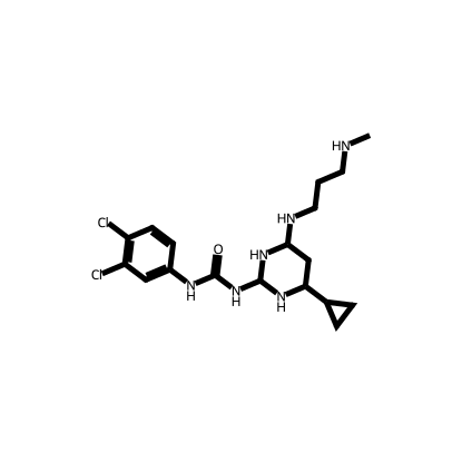 CNCCCNC1CC(C2CC2)NC(NC(=O)Nc2ccc(Cl)c(Cl)c2)N1